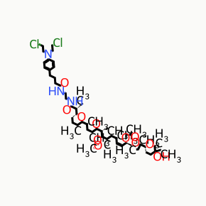 CC[C@@H](C(=O)[C@@H](C)C[C@H](C)[C@@H]1O[C@@H]([C@@H](CC)C(=O)NCCNC(=O)CCCc2ccc(N(CCCl)CCCl)cc2)CC[C@@H]1C)[C@@H](OOC)[C@@H](C)C[C@@H](C)/C=C\[C@H](CO[C@@](C)(CC)[C@H]1CC[C@](O)(CC)[C@H](C)O1)OC(C)=O